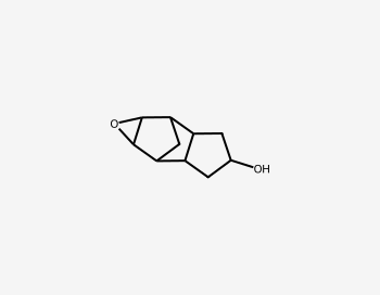 OC1CC2C(C1)C1CC2C2OC12